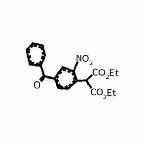 CCOC(=O)C(C(=O)OCC)c1ccc(C(=O)c2ccccc2)cc1[N+](=O)[O-]